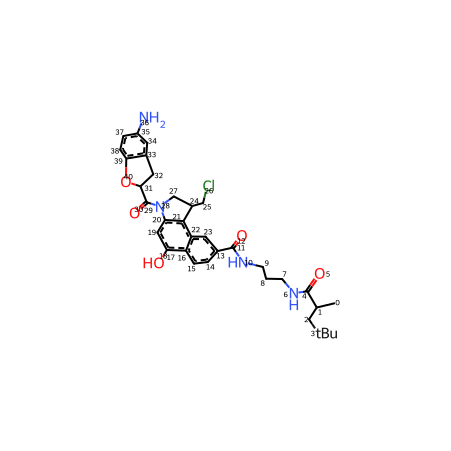 CC(CC(C)(C)C)C(=O)NCCCNC(=O)c1ccc2c(O)cc3c(c2c1)C(CCl)CN3C(=O)C1Cc2cc(N)ccc2O1